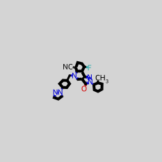 Cc1ccccc1-n1nc2c3c(F)ccc(C#N)c3n(Cc3ccc(-n4cccn4)cc3)cc-2c1=O